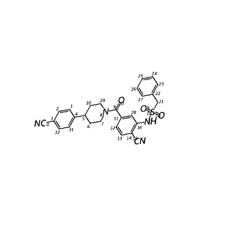 N#Cc1ccc(C2CCN(C(=O)c3ccc(C#N)c(NS(=O)(=O)Cc4ccccc4)c3)CC2)cc1